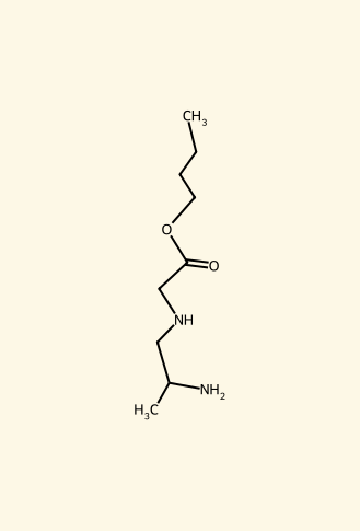 CCCCOC(=O)CNCC(C)N